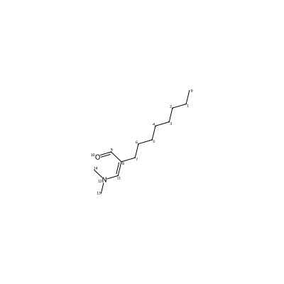 CCCCCCCCC(C=O)=CN(C)C